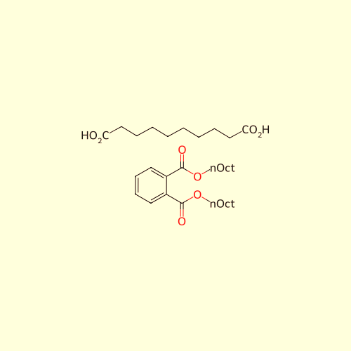 CCCCCCCCOC(=O)c1ccccc1C(=O)OCCCCCCCC.O=C(O)CCCCCCCCC(=O)O